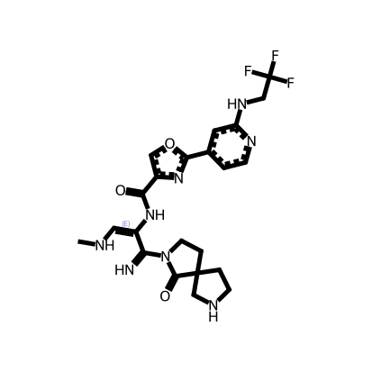 CN/C=C(/NC(=O)c1coc(-c2ccnc(NCC(F)(F)F)c2)n1)C(=N)N1CCC2(CCNC2)C1=O